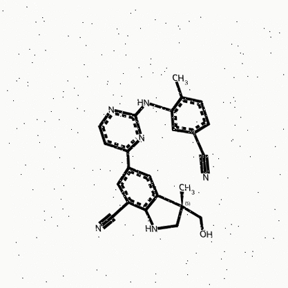 Cc1ccc(C#N)cc1Nc1nccc(-c2cc(C#N)c3c(c2)[C@](C)(CO)CN3)n1